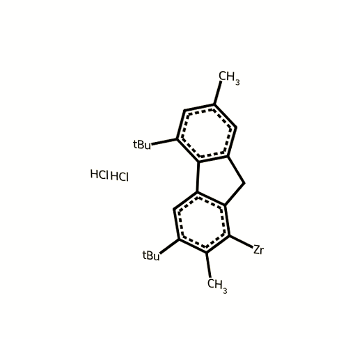 Cc1cc2c(c(C(C)(C)C)c1)-c1cc(C(C)(C)C)c(C)[c]([Zr])c1C2.Cl.Cl